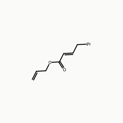 C=CCOC(=O)/C=C/CC(C)C